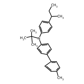 CCC(C)c1ccc(N(c2ccc(-c3ccc(C)cc3)cc2)C(C)(C)C)cc1